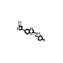 Fc1ccc(CNc2cnc3cc(-c4cn[nH]c4)ccc3n2)cc1